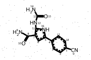 N#Cc1ccc(-c2cc(C(N)=O)c(NC(N)=O)[nH]2)cc1